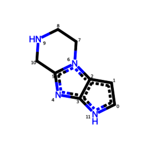 c1cc2c(nc3n2CCNC3)[nH]1